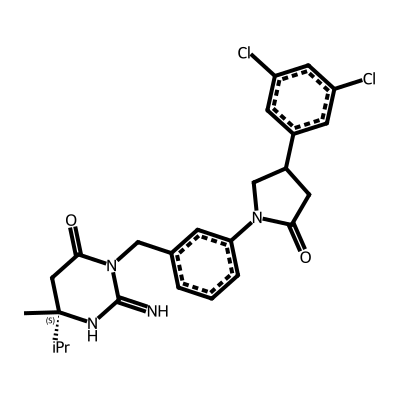 CC(C)[C@]1(C)CC(=O)N(Cc2cccc(N3CC(c4cc(Cl)cc(Cl)c4)CC3=O)c2)C(=N)N1